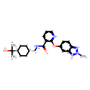 Cn1nc2ccc(Oc3ncccc3C(=O)NC[C@H]3CC[C@H](C(C)(C)O)CC3)cc2n1